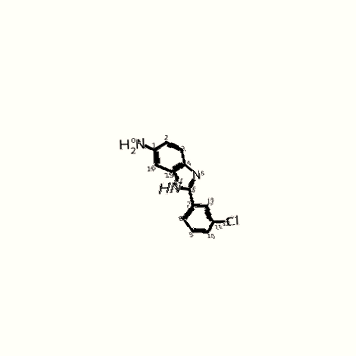 Nc1ccc2nc(-c3cccc(Cl)c3)[nH]c2c1